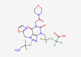 CC(C)(CN)Sc1nc2c(c(=O)n(CC(=O)N3CCOCC3)c(=O)n2CC(F)(F)F)n1Cc1ncco1.O=C(O)C(F)(F)F